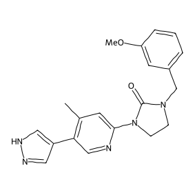 COc1cccc(CN2CCN(c3cc(C)c(-c4cn[nH]c4)cn3)C2=O)c1